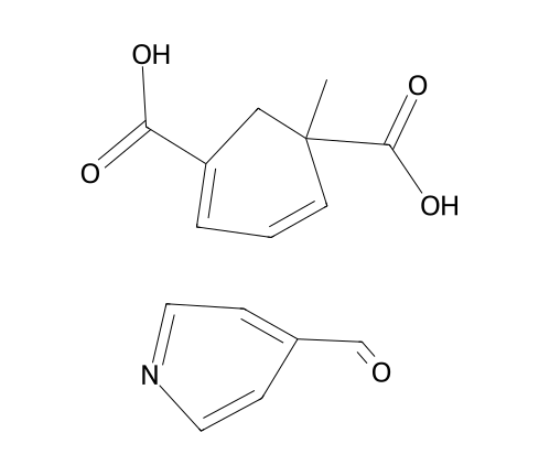 CC1(C(=O)O)C=CC=C(C(=O)O)C1.O=Cc1ccncc1